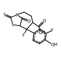 O=C(O)C1CCN2C(=O)C(SC2=S)C1(F)c1ccc(O)c(F)c1